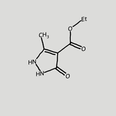 CCOC(=O)c1c(C)[nH][nH]c1=O